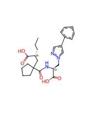 CCC[C@H](CC1(C(=O)N[C@@H](Cn2cc(-c3ccccc3)cn2)C(=O)O)CCCC1)C(=O)O